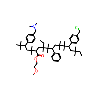 CCC(C)(C)CC(c1ccc(CCl)cc1)C(C)(C)C(C)(C)CC(c1ccccc1)C(C)(C)C(C)(CC)CC(C(=O)OCCOC)C(C)(C)CC(c1ccc(CN(C)C)cc1)C(C)(C)C